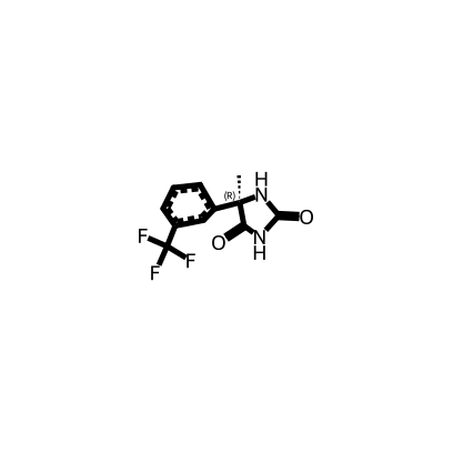 C[C@]1(c2cccc(C(F)(F)F)c2)NC(=O)NC1=O